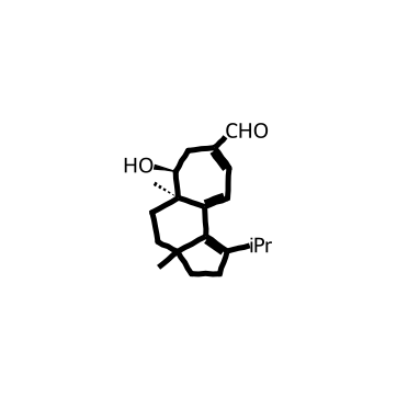 CC(C)C1=C2C3=CC=C(C=O)C[C@H](O)[C@]3(C)CCC2(C)CC1